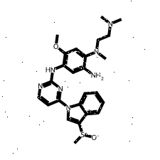 COc1cc(N(C)CCN(C)C)c(N)cc1Nc1nccc(-n2cc([S+](C)[O-])c3ccccc32)n1